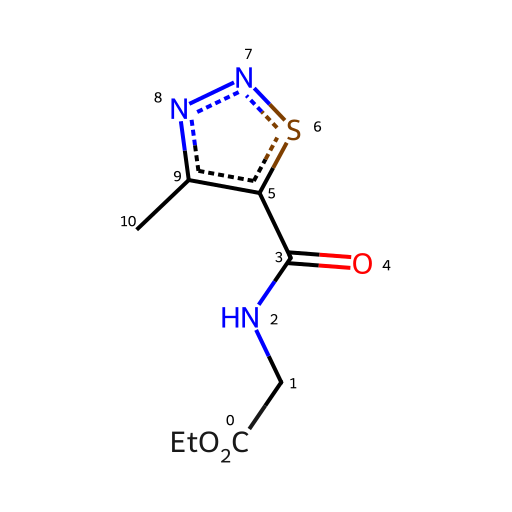 CCOC(=O)CNC(=O)c1snnc1C